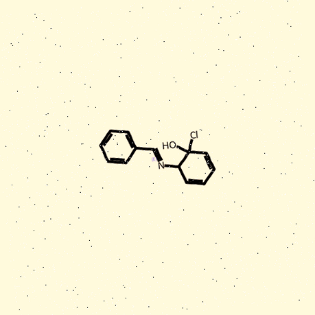 OC1(Cl)C=CC=CC1/N=C/c1ccccc1